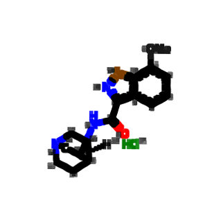 COc1cccc2c(C(=O)N[C@@H]3CN4CCC3CC4)nsc12.Cl